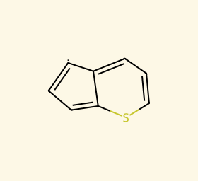 [c]1ccc2scccc1-2